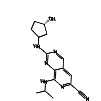 CC(C)Nc1nc(C#N)cc2cnc(NC3CC[C@H](O)C3)nc12